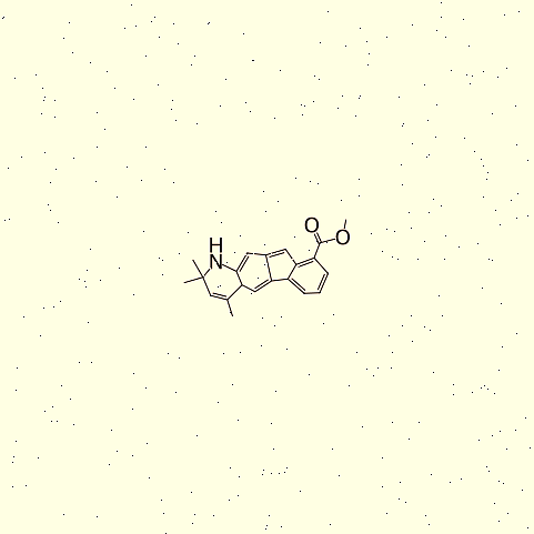 COC(=O)c1cccc2c1C=C1C=C3NC(C)(C)C=C(C)C3C=C12